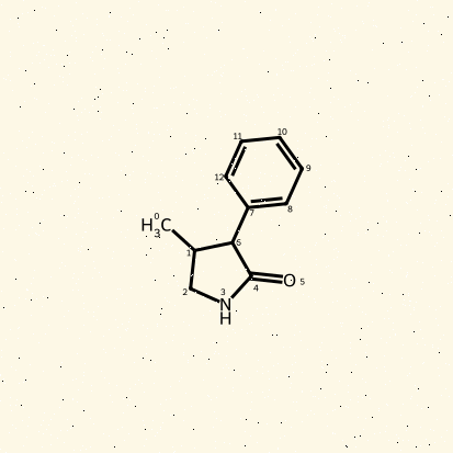 CC1CNC(=O)C1c1ccccc1